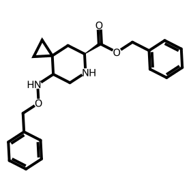 O=C(OCc1ccccc1)[C@@H]1CC2(CC2)C(NOCc2ccccc2)CN1